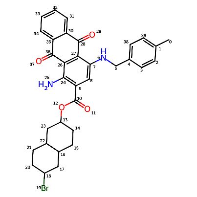 Cc1ccc(CNc2cc(C(=O)OC3CCC4CC(Br)CCC4C3)c(N)c3c2C(=O)c2ccccc2C3=O)cc1